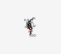 CC(C)CCC[C@@H](C)[C@H]1CC[C@H]2[C@@H]3CC=C4C[C@@H](OC(=O)CCC(=O)[O-])CC[C@]4(C)[C@H]3CC[C@]12C.[Li+]